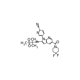 CC(C)(C#Cc1cc2cc(C(=O)N3CCC(F)(F)CC3)cnc2n1-c1ccc(C#N)nc1)S(C)(=O)=O